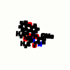 COc1ccnc(C(=O)N[C@@H](C)C(=O)OC(C)C2c3ccccc3Oc3ccccc32)c1O